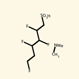 CNC.O=S(=O)(O)CC(F)C(F)C(F)CCF